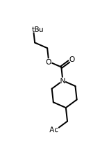 CC(=O)CC1CCN(C(=O)OCCC(C)(C)C)CC1